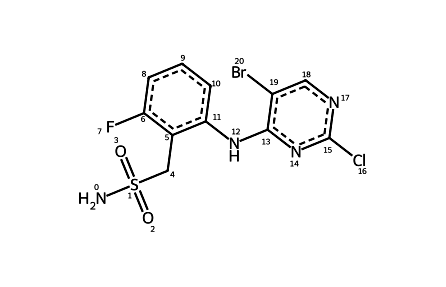 NS(=O)(=O)Cc1c(F)cccc1Nc1nc(Cl)ncc1Br